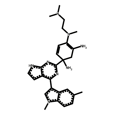 Cc1ccc2c(c1)c(-c1nc(C3(N)C=CC(N(C)CCN(C)C)=C(N)C3)nc3[nH]ccc13)cn2C